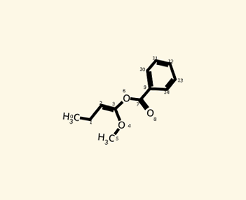 CCC=C(OC)OC(=O)c1ccccc1